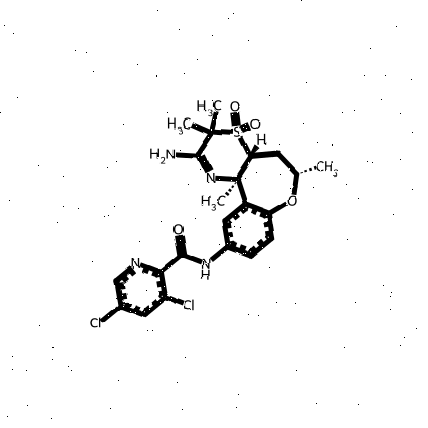 C[C@H]1C[C@@H]2[C@](C)(N=C(N)C(C)(C)S2(=O)=O)c2cc(NC(=O)c3ncc(Cl)cc3Cl)ccc2O1